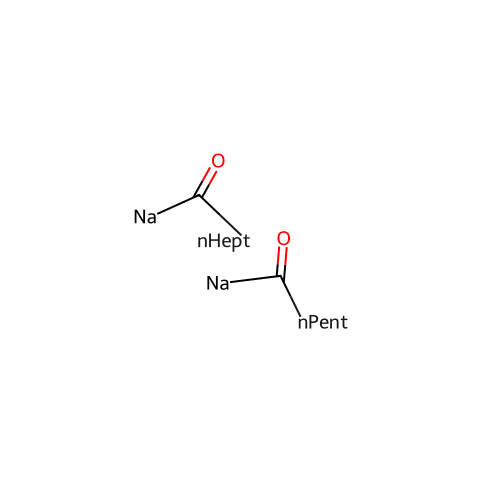 CCCCCCC[C](=O)[Na].CCCCC[C](=O)[Na]